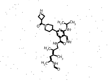 C/C(=C/C(C)=C(\C)CNC(=O)c1cc(C2CCN(C(=O)C3CNC3)CC2)nc(NC(C)C)c1C=N)NC=O